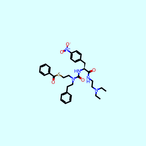 CCN(CC)CCNC(=O)[C@H](Cc1ccc([N+](=O)[O-])cc1)NC(=O)N(CCSC(=O)c1ccccc1)CCc1ccccc1